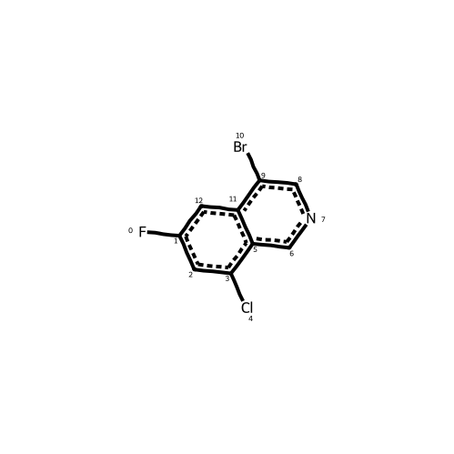 Fc1cc(Cl)c2cncc(Br)c2c1